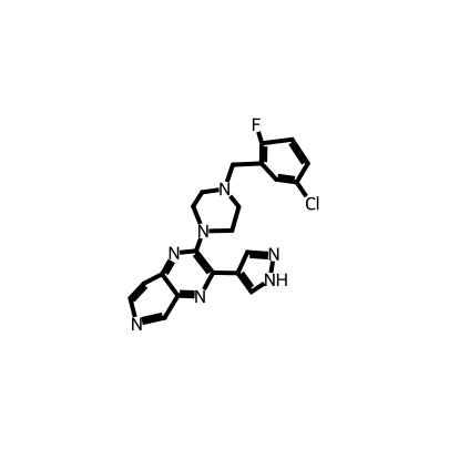 Fc1ccc(Cl)cc1CN1CCN(c2nc3ccncc3nc2-c2cn[nH]c2)CC1